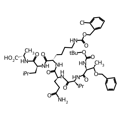 CC(C)C[C@H](NC(=O)[C@H](CCCCNC(=O)OCc1ccccc1Cl)NC(=O)[C@H](CCC(N)=O)NC(=O)[C@@H](NC(=O)[C@@H](NC(=O)OC(C)(C)C)[C@@H](C)OCc1ccccc1)C(C)C)C(=O)N[C@@H](C)C(=O)O